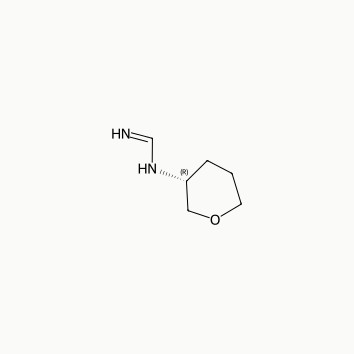 N=CN[C@@H]1CCCOC1